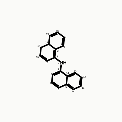 C1=CC2=C(Nc3cccc4ccccc34)C=CCC2C=C1